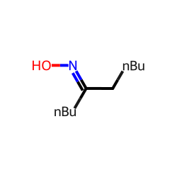 CCCCCC(CCCC)=NO